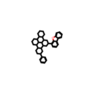 c1ccc(C2CCC3C(C2)C2CC(c4cccc5c4oc4ccccc45)CC4C5CCCCC5C5CCCC3C5C42)cc1